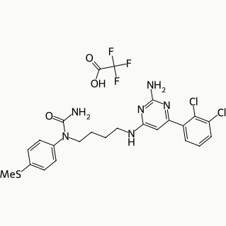 CSc1ccc(N(CCCCNc2cc(-c3cccc(Cl)c3Cl)nc(N)n2)C(N)=O)cc1.O=C(O)C(F)(F)F